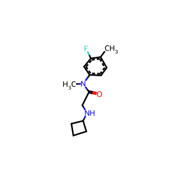 Cc1ccc(N(C)C(=O)CNC2CCC2)cc1F